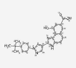 CC(C)(C)c1ccc(-n2cc(-c3nc4c(ccc5cc(C(=O)O)cc(O)c54)[nH]3)cn2)cc1